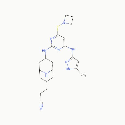 Cc1cc(Nc2cc(SN3CCC3)nc(NC3CC4CC(CCC#N)CC(C3)N4)n2)n[nH]1